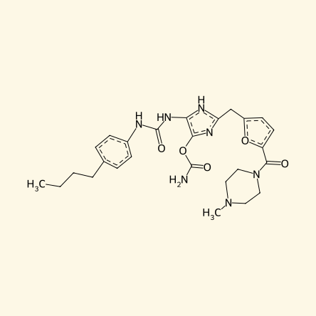 CCCCc1ccc(NC(=O)Nc2[nH]c(Cc3ccc(C(=O)N4CCN(C)CC4)o3)nc2OC(N)=O)cc1